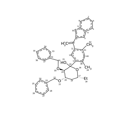 C=C(c1cc2ccccc2s1)c1cc(C2(O)O[C@H](CC)C[C@H](OCc3ccccc3)[C@H]2OCc2ccccc2)c(C)cc1C